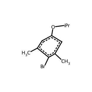 Cc1cc(OC(C)C)cc(C)c1Br